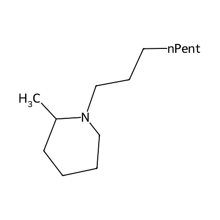 CCCCCCCCN1CCCCC1C